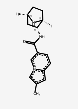 Cc1cc2ccc(C(=O)N[C@@H]3C[C@H]4CC[C@@H]3N4)cn2c1